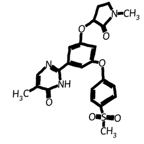 Cc1cnc(-c2cc(Oc3ccc(S(C)(=O)=O)cc3)cc(OC3CCN(C)C3=O)c2)[nH]c1=O